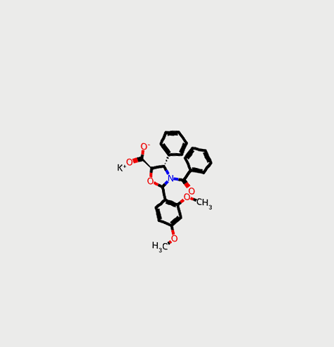 COc1ccc(C2O[C@@H](C(=O)[O-])[C@H](c3ccccc3)N2C(=O)c2ccccc2)c(OC)c1.[K+]